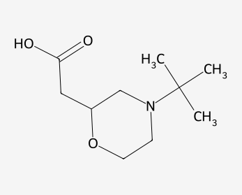 CC(C)(C)N1CCOC(CC(=O)O)C1